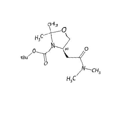 CN(C)C(=O)C[C@@H]1COC(C)(C)N1C(=O)OC(C)(C)C